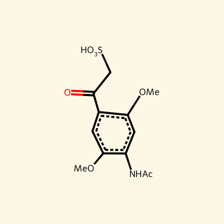 COc1cc(C(=O)CS(=O)(=O)O)c(OC)cc1NC(C)=O